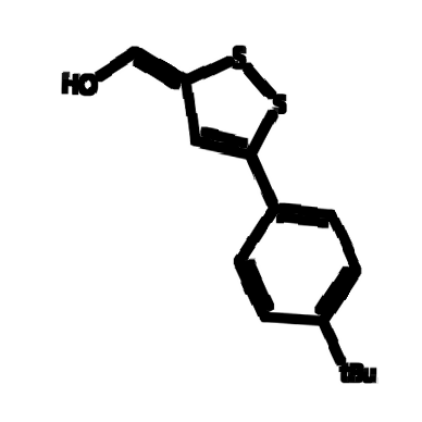 CC(C)(C)c1ccc(C2=C/C(=C\O)SS2)cc1